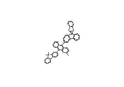 Cc1ccc2c(-c3ccc4c(c3)-c3ccccc3[Si]43Cc4ccccc4C3)c3ccccc3c(-c3ccc4c(c3)C(C)(C)c3ccccc3-4)c2c1